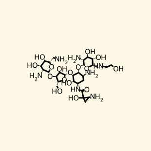 NC[C@@H]1O[C@H](O[C@H]2[C@@H](O)[C@H](O[C@@H]3[C@@H](O)[C@H](NC(=O)C4(O)CC4N)C[C@H](N)[C@H]3O[C@H]3O[C@H](CNCCO)[C@@H](O)[C@H](O)[C@H]3N)O[C@@H]2CO)[C@H](N)[C@@H](O)[C@@H]1O